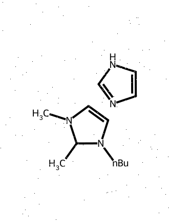 CCCCN1C=CN(C)C1C.c1c[nH]cn1